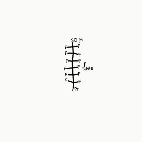 CCCC(F)(F)C(F)(F)C(F)(F)C(F)(F)C(F)(F)C(F)(F)S(=O)(=O)O.CNC